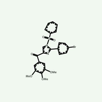 COc1cc(C(=O)c2cn(S(=O)(=O)c3ccccc3)c(-c3ccc(Br)cc3)n2)cc(OC)c1OC